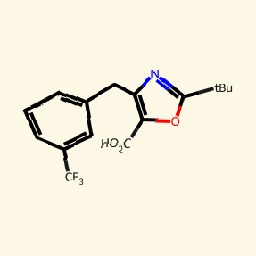 CC(C)(C)c1nc(Cc2cccc(C(F)(F)F)c2)c(C(=O)O)o1